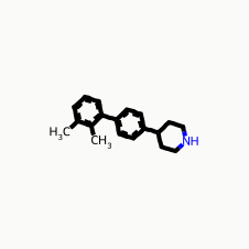 Cc1cccc(-c2ccc(C3CCNCC3)cc2)c1C